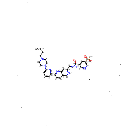 COCCN1CCN(c2cccc(-c3ccc4cnc(CNC(=O)c5cncc(S(C)(=O)=O)c5)cc4n3)n2)CC1